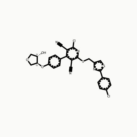 N#Cc1c(Cl)nc(SCc2csc(-c3ccc(Cl)cc3)n2)c(C#N)c1-c1ccc(O[C@H]2COC[C@@H]2O)cc1